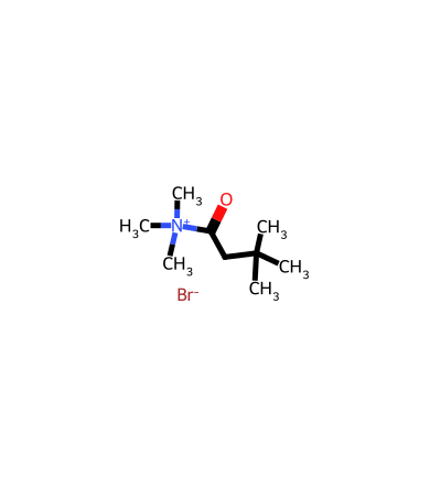 CC(C)(C)CC(=O)[N+](C)(C)C.[Br-]